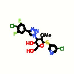 COC1C(Sc2cncc(Cl)c2)OC(CO)C(O)C1n1cc(-c2cc(F)c(Cl)c(F)c2)nn1